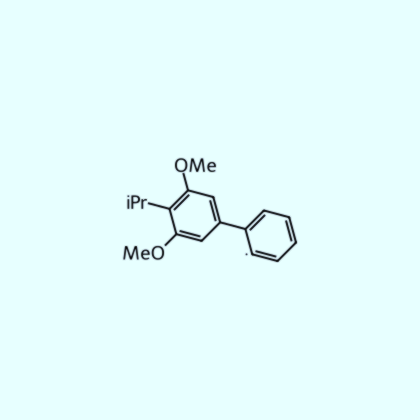 COc1cc(-c2[c]cccc2)cc(OC)c1C(C)C